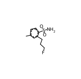 Cc1ccc(S(N)(=O)=O)c(CCCF)c1